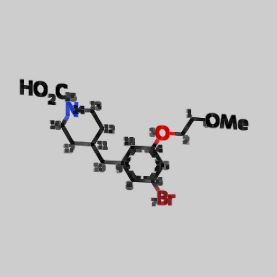 COCCOc1cc(Br)cc(CC2CCN(C(=O)O)CC2)c1